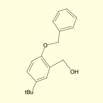 CC(C)(C)c1ccc(OCc2ccccc2)c(CO)c1